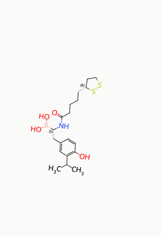 CC(C)c1cc(C[C@@H](NC(=O)CCCC[C@@H]2CCSS2)B(O)O)ccc1O